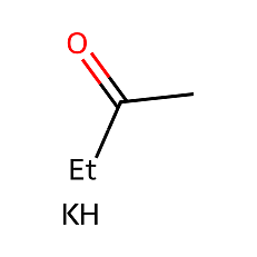 CCC(C)=O.[KH]